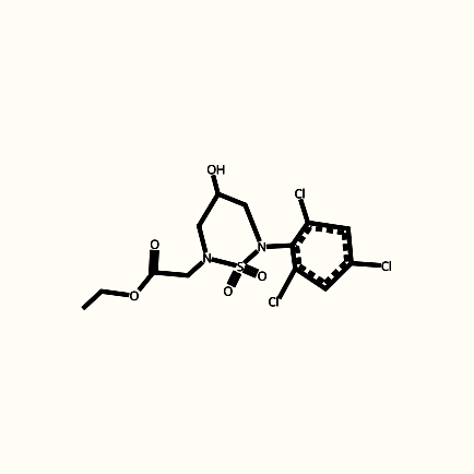 CCOC(=O)CN1CC(O)CN(c2c(Cl)cc(Cl)cc2Cl)S1(=O)=O